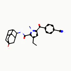 CCc1cc(C(=O)c2ccc(C#N)cc2)n(C)c1C(=O)NC1C2CC3CC1CC(O)(C3)C2